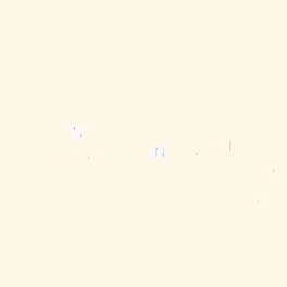 O=C1OC(CCN2CCC(O)(c3ccc4c(c3)OCO4)CC2)CN1c1ccc(F)cc1